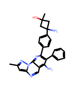 Cc1cc2ncc3c(N)c(-c4ccccc4)c(-c4ccc(C5(N)CC(C)(O)C5)cc4)nc3n2n1